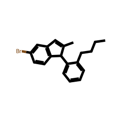 CCCCc1ccccc1C1C(C)=Cc2cc(Br)ccc21